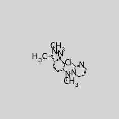 Cc1c2ccc(N(C)N3CC=CN=C3Cl)cc2nn1C